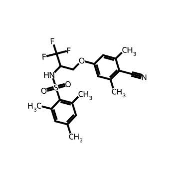 Cc1cc(C)c(S(=O)(=O)NC(COc2cc(C)c(C#N)c(C)c2)C(F)(F)F)c(C)c1